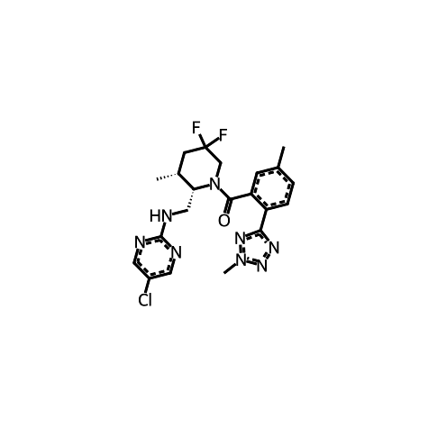 Cc1ccc(-c2nnn(C)n2)c(C(=O)N2CC(F)(F)C[C@@H](C)[C@H]2CNc2ncc(Cl)cn2)c1